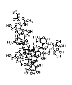 CC(=O)NC1C(O)[C@H](O[C@@H]2OC(CO)[C@H](O)[C@H](O)C2O)[C@H](CO)O[C@H]1OC1[C@@H](OCC2O[C@@H](O[C@@H]3C(CO)O[C@@H](O[C@@H]4C(CO)O[C@@H](CC(=O)CBr)C(NC(C)=O)[C@H]4O)C(NC(C)=O)[C@H]3O)C(O)[C@@H](O[C@H]3OC(CO)[C@@H](O)C(O)C3O[C@@H]3OC(CO)[C@@H](O[C@@H]4OC(CO)[C@H](O)[C@H](O)C4O)[C@H](O)C3NC(C)=O)[C@@H]2O)OC(CO)[C@@H](O)[C@@H]1O